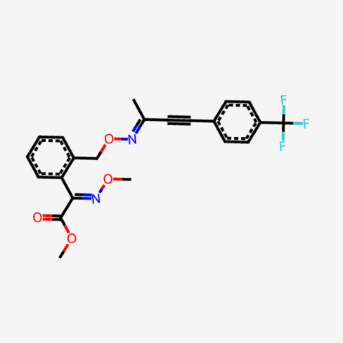 CO/N=C(/C(=O)OC)c1ccccc1CO/N=C(\C)C#Cc1ccc(C(F)(F)F)cc1